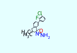 CC1(C)Cc2ccc(-c3cccc(Cl)c3F)cc2C2(COC(N)=N2)C1